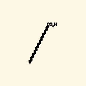 CC=CCC=CCCCCCCCCCCCCCCCCCC(=O)O